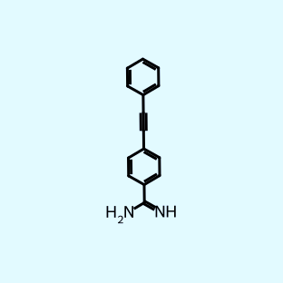 N=C(N)c1ccc(C#Cc2ccccc2)cc1